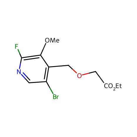 CCOC(=O)COCc1c(Br)cnc(F)c1OC